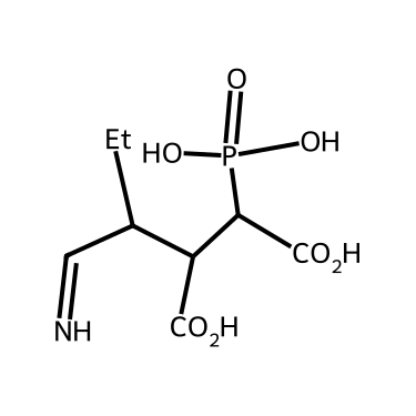 CCC(C=N)C(C(=O)O)C(C(=O)O)P(=O)(O)O